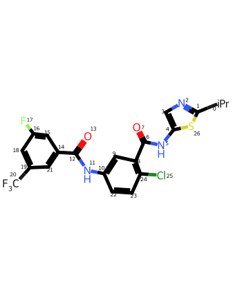 CC(C)c1ncc(NC(=O)c2cc(NC(=O)c3cc(F)cc(C(F)(F)F)c3)ccc2Cl)s1